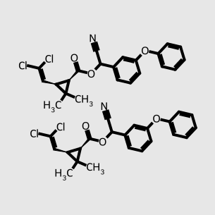 CC1(C)[C@H](C(=O)OC(C#N)c2cccc(Oc3ccccc3)c2)[C@@H]1C=C(Cl)Cl.CC1(C)[C@H](C(=O)OC(C#N)c2cccc(Oc3ccccc3)c2)[C@@H]1C=C(Cl)Cl